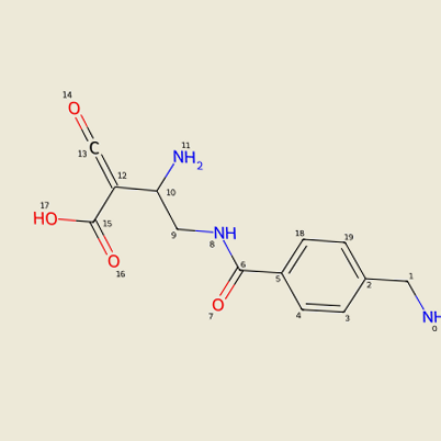 NCc1ccc(C(=O)NCC(N)C(=C=O)C(=O)O)cc1